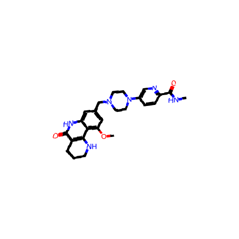 CNC(=O)c1ccc(N2CCN(Cc3cc(OC)c4c5c(c(=O)[nH]c4c3)CCCN5)CC2)cn1